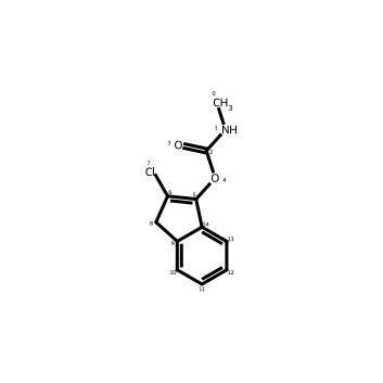 CNC(=O)OC1=C(Cl)Cc2ccccc21